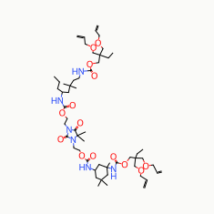 C=CCOCC(CC)(COCC=C)COC(=O)NCCC(C)(C)CC(CCC)NC(=O)OCCN1C(=O)N(CCOC(=O)NC2CC(C)(C)CC(C)(NC(=O)OCC(CC)(COCC=C)COCC=C)C2)C(C)(C)C1=O